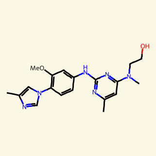 COc1cc(Nc2nc(C)cc(N(C)CCO)n2)ccc1-n1cnc(C)c1